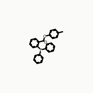 Cc1ccc(OC(=O)c2ccccc2P(c2ccccc2)c2ccccc2)cc1